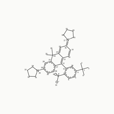 CC(C)(C)c1ccc(C(=O)[O-])c(C2=C3C=CC(=[N+]4CCCC4)C=C3C(C)(C)c3cc(N4CCCC4)ccc32)c1